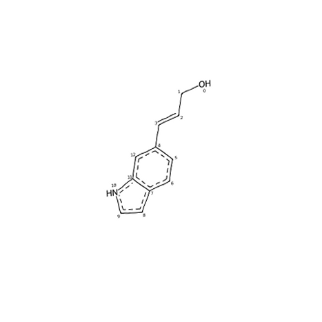 OCC=Cc1ccc2cc[nH]c2c1